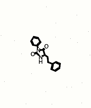 O=C1NC(CCc2ccccc2)C(=O)N1c1ccccc1